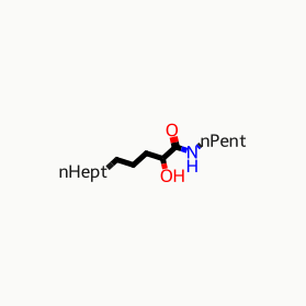 CCCCCCCCCCC(O)C(=O)NCCCCC